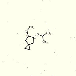 CO[C@@H]1CC2(CC2)C[C@H]1OC(C)C